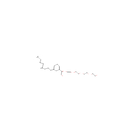 CC(C)CCCC(C)CCCC1CCCC(C(CO)OCCOCCOCCOCCO)C1